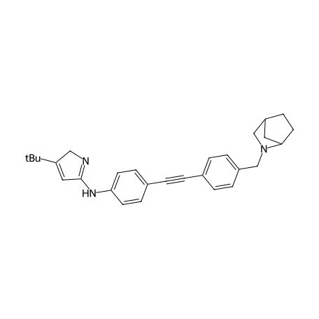 CC(C)(C)C1=CC(Nc2ccc(C#Cc3ccc(CN4CC5CCC4C5)cc3)cc2)=NC1